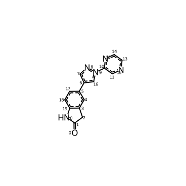 O=C1Cc2cc(-c3cnn(-c4cnccn4)c3)ccc2N1